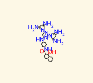 N[C@@H]1C[C@H](N)CN(c2cc(Nc3ccc(NC(=O)c4ccc5ccccc5c4O)cc3)nc(N3C[C@H](N)C[C@H](N)C3)n2)C1